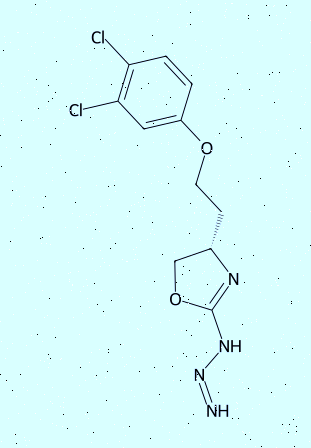 N=NNC1=N[C@@H](CCOc2ccc(Cl)c(Cl)c2)CO1